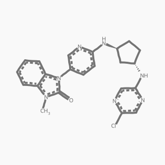 Cn1c(=O)n(-c2ccc(N[C@H]3CC[C@H](Nc4cnc(Cl)cn4)C3)nc2)c2ccccc21